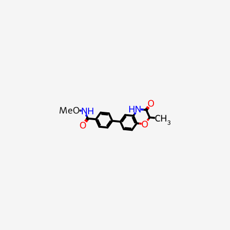 CONC(=O)c1ccc(-c2ccc3c(c2)NC(=O)C(C)O3)cc1